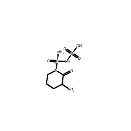 NC1CCCN([P@](N)(=O)NS(=O)(=O)O)C1=O